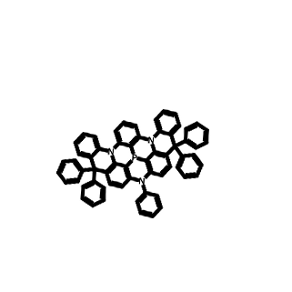 c1ccc(N2c3ccc4c5c3P3c6c(cccc6N6c7ccccc7C(c7ccccc7)(c7ccccc7)c7ccc2c3c76)N5c2ccccc2C4(c2ccccc2)c2ccccc2)cc1